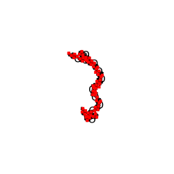 C=Cc1ccc(COc2ccc(OCc3ccc(Oc4ccc(C(C)Oc5c(C)cc(Oc6c(C)cc(-c7cc(C)c(Oc8cc(C)c(OCc9ccc(Oc%10ccc(COc%11ccc(OCc%12ccc(C=C)cc%12)c(P(=O)(c%12ccccc%12)c%12ccccc%12)c%11)cc%10)cc9)c(C)c8)c(C)c7C)c(C)c6C)cc5C)cc4)cc3)c(P(=O)(c3ccccc3)c3ccccc3)c2)cc1